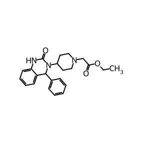 CCOC(=O)CN1CCC(N2C(=O)Nc3ccccc3C2c2ccccc2)CC1